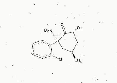 CN[C@@]1(c2ccccc2Cl)C[C@H](C)C[C@@H](O)C1=O